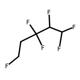 FCCC(F)(F)C(F)C(F)F